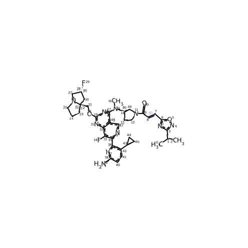 CC(C)c1noc(/C=C/C(=O)N2CC[C@@H](N(C)c3nc(OC[C@@]45CCCN4C[C@H](F)C5)nc4c(F)c(-c5nc(N)ccc5C5CC5)ncc34)C2)n1